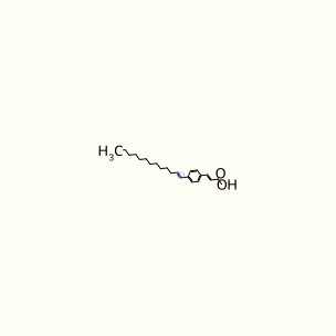 CCCCCCCCCCC/C=C/c1ccc(C=CC(=O)O)cc1